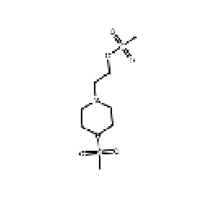 CS(=O)(=O)OCCN1CCN(S(C)(=O)=O)CC1